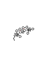 C=C/C=C\C=C(/C)c1nc(-c2ccccc2)nc(-c2cccc(-c3cccc(C4(c5cccc(-c6cccc(-c7nc(-c8ccccc8)nc(-c8ccccc8)n7)c6)c5)c5ccccc5Oc5ccccc54)c3)c2)n1